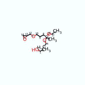 CCO.CCO[Si](C)(CCCOCC1CO1)OCC